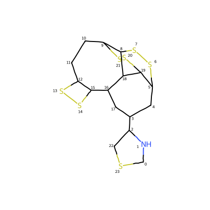 C1NC(C2CC3SSC4C5CCC6SSC6C(C2)C4C3SS5)CS1